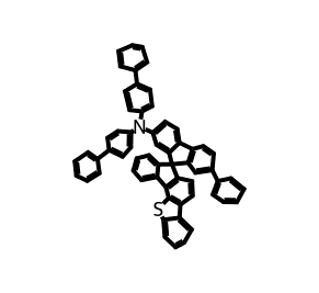 c1ccc(-c2ccc(N(c3ccc(-c4ccccc4)cc3)c3ccc4c(c3)C3(c5cc(-c6ccccc6)ccc5-4)c4ccccc4-c4c3ccc3c4sc4ccccc43)cc2)cc1